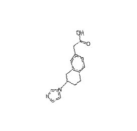 O=C(O)Cc1ccc2c(c1)CC(n1ccnc1)CC2